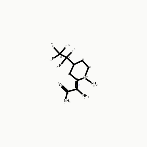 NC(=O)/C(N)=C1\CC(C(F)(F)C(F)(F)F)CCN1N